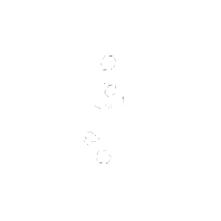 O=C(CCc1nc(-c2ccc(O)cc2)no1)Nc1cn(Cc2cc(F)cc(F)c2)cc1C(=O)O